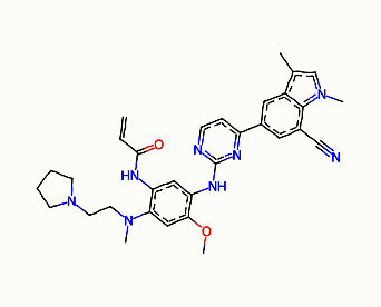 C=CC(=O)Nc1cc(Nc2nccc(-c3cc(C#N)c4c(c3)c(C)cn4C)n2)c(OC)cc1N(C)CCN1CCCC1